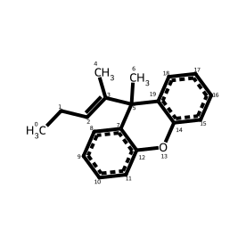 CCC=C(C)C1(C)c2ccccc2Oc2ccccc21